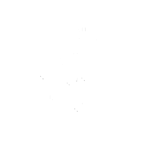 Cc1c(Cl)cccc1NC(=S)C1=C(N(C)c2ccncc2OCC2COC(C)(C)CO2)C(C)CNC1=O